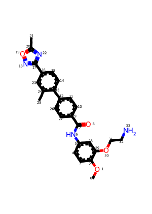 COc1ccc(NC(=O)c2ccc(-c3ccc(-c4noc(C)n4)cc3C)cc2)cc1OCCN